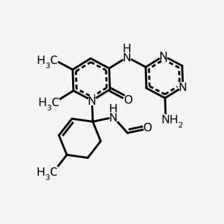 Cc1cc(Nc2cc(N)ncn2)c(=O)n(C2(NC=O)C=CC(C)CC2)c1C